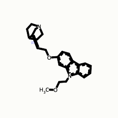 COCCn1c2ccccc2c2ccc(OC/C=C3\CN4CCC3CC4)cc21